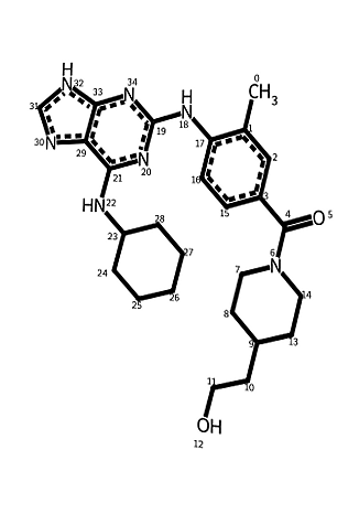 Cc1cc(C(=O)N2CCC(CCO)CC2)ccc1Nc1nc(NC2CCCCC2)c2nc[nH]c2n1